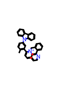 Cc1ccc(-n2c3ccccc3c3ccccc32)cc1-c1cccc[n+]1Cc1ccccc1-c1ccccn1